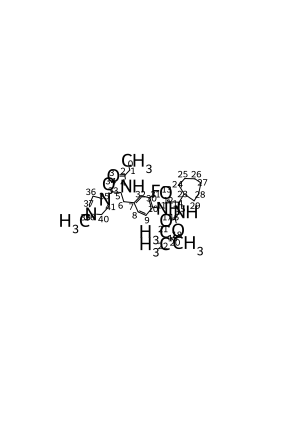 CCC(=O)NC(Cc1ccc(NC(=O)C(NC(=O)OC(C)(C)C)C2CCCCCC2)c(F)c1)C(=O)N1CCN(C)CC1